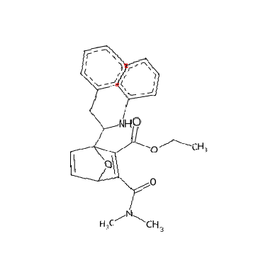 CCOC(=O)C1=C(C(=O)N(C)C)C2C=CC1(C(Cc1ccccc1)Nc1ccccc1)O2